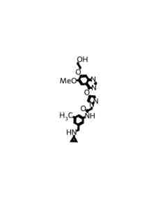 COc1cc2c(Oc3cnn(CC(=O)Nc4cc(C)cc(CNC5CC5)c4)c3)ncnc2cc1OCCO